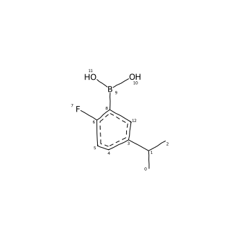 CC(C)c1ccc(F)c(B(O)O)c1